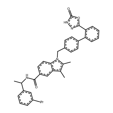 Cc1c(C)n(Cc2ccc(-c3ccccc3-c3n[nH]c(=O)o3)cc2)c2ccc(C(=O)NC(C)c3cccc(C(C)C)c3)cc12